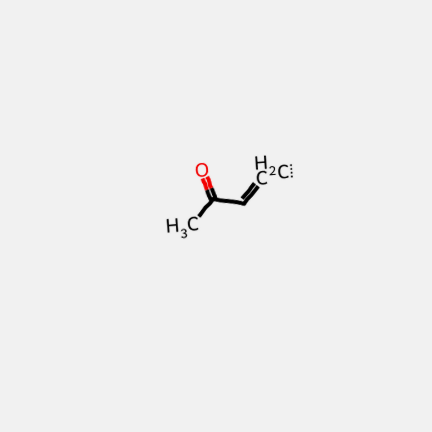 C=CC(C)=O.[C]